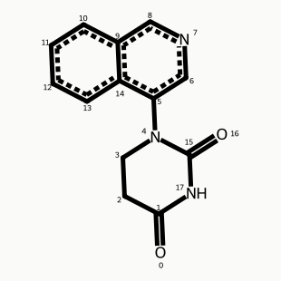 O=C1CCN(c2cncc3ccccc23)C(=O)N1